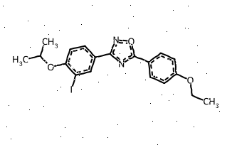 CCOc1ccc(-c2nc(-c3ccc(OC(C)C)c(I)c3)no2)cc1